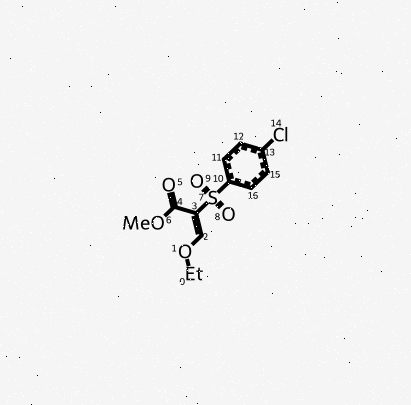 CCOC=C(C(=O)OC)S(=O)(=O)c1ccc(Cl)cc1